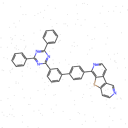 c1ccc(-c2nc(-c3ccccc3)nc(-c3cccc(-c4ccc(-c5nccc6c5sc5ccncc56)cc4)c3)n2)cc1